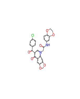 O=C(Cn1cc(C(=O)c2ccc(Cl)cc2)c(=O)c2cc3c(cc21)OCO3)Nc1ccc2c(c1)OCCO2